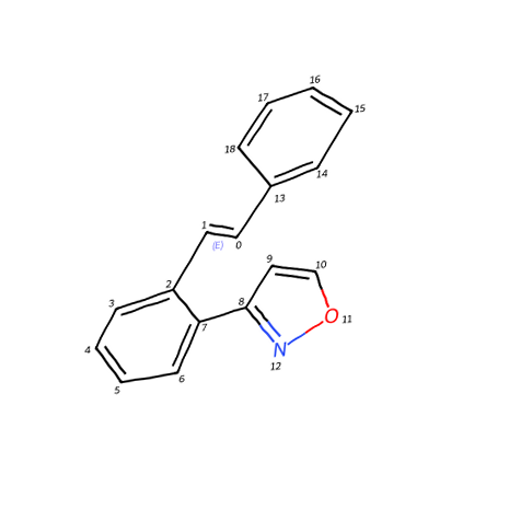 C(=C\c1ccccc1-c1ccon1)/c1ccccc1